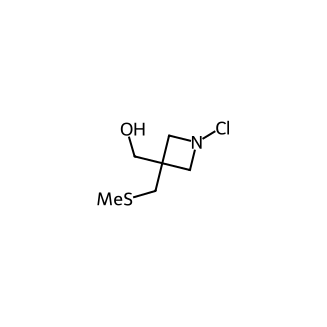 CSCC1(CO)CN(Cl)C1